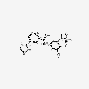 CS(=O)(=O)Nc1cc(Cl)cc(NC(=O)c2cccc(-n3cccn3)c2)c1